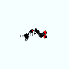 O=C(NCc1ccc(CNC[C@H](O)c2ccc(O)c3[nH]c(=O)ccc23)cc1)c1ccc(COc2cccc([C@H](c3ccccc3)N(C(=O)O)[C@H]3CN4CCC3CC4)c2)cc1